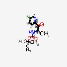 C[C@H](NC(=O)OC(C)(C)C)C(=O)c1ccc(F)cn1